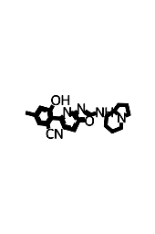 Cc1cc(O)c(-c2ccc3oc(NC4CCCN5CCCC45)nc3n2)c(C#N)c1